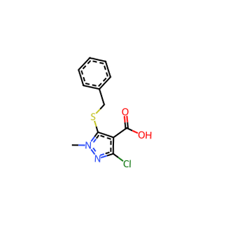 Cn1nc(Cl)c(C(=O)O)c1SCc1ccccc1